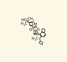 C[C@H](c1ccc2c(c1NC(=O)NS(=N)(=O)c1cc(C(C)(C)O)co1)CCC2)C1CCC1